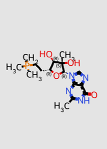 C=P(C)(C)CC[C@H]1O[C@@H](n2cnc3c(=O)[nH]c(C)nc32)[C@@](C)(O)[C@@H]1O